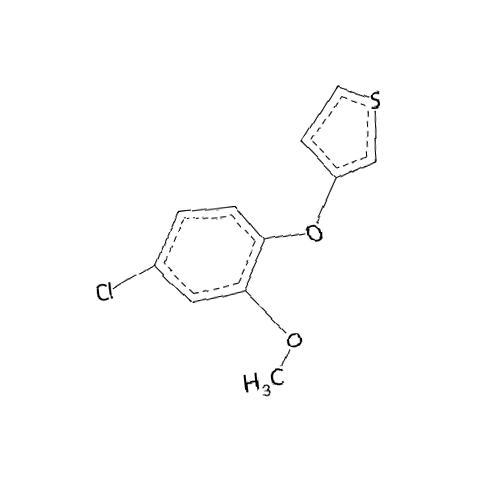 COc1cc(Cl)ccc1Oc1ccsc1